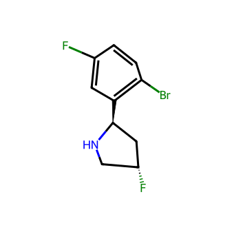 Fc1ccc(Br)c([C@H]2C[C@H](F)CN2)c1